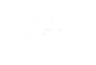 CC=C(C)CC(N)C(=O)O.N[C@@H](CO)[C@@H](O)c1ccccc1